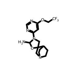 NC1OC2(CN3CCC2CC3)CN1c1cc(OCC(F)(F)F)ncn1